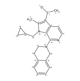 Cc1c([S+](C)[O-])c2ccnc(N3CCc4ccccc4C3)c2n1CC1CC1